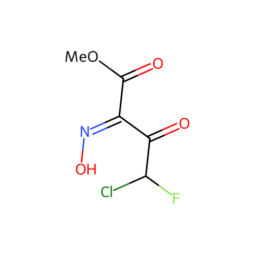 COC(=O)C(=NO)C(=O)C(F)Cl